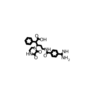 N=C(N)c1ccc(C(=O)NCCC(C(C(=O)O)c2ccccc2)N2CCNC(=O)C2=O)cc1